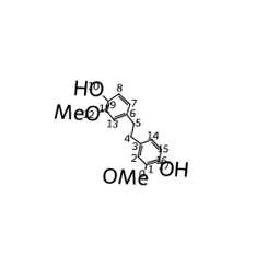 COc1cc(CCc2ccc(O)c(OC)c2)ccc1O